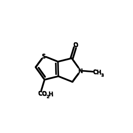 CN1Cc2c(C(=O)O)csc2C1=O